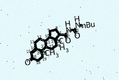 CCCCNC(=O)NC(=O)C1CCC2C3CCC4=CC(=O)CC[C@]4(C)C3CC[C@]12C